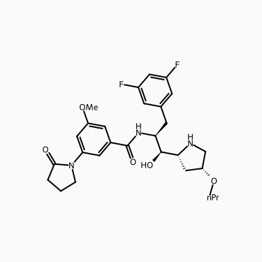 CCCO[C@H]1CN[C@@H]([C@@H](O)[C@H](Cc2cc(F)cc(F)c2)NC(=O)c2cc(OC)cc(N3CCCC3=O)c2)C1